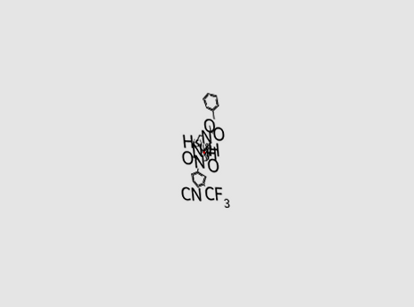 N#Cc1ccc(N2C(=O)[C@H]3[C@@H]4C[C@@H](CN4C(=O)OCc4ccccc4)N3C2=O)cc1C(F)(F)F